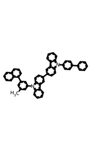 Cc1cc(-c2cccc3ccccc23)cc(-n2c3ccccc3c3cc(-c4ccc5c(c4)c4ccccc4n5-c4ccc(-c5ccccc5)cc4)ccc32)c1